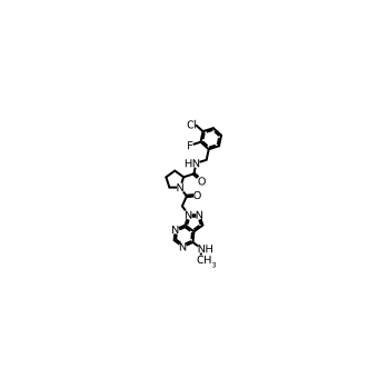 CNc1ncnc2c1cnn2CC(=O)N1CCCC1C(=O)NCc1cccc(Cl)c1F